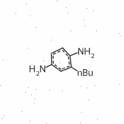 CCCCc1cc(N)ccc1N